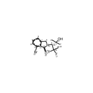 CC(C)(O)[C@@H](N1Cc2cccc(Br)c2C1=O)C(F)(F)F